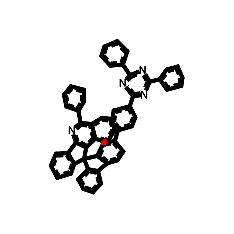 c1ccc(-c2nc(-c3ccccc3)nc(-c3ccc(-c4ccc5c(c4)C4(c6ccccc6-5)c5ccccc5-c5nc(-c6ccccc6)c6ccccc6c54)cc3)n2)cc1